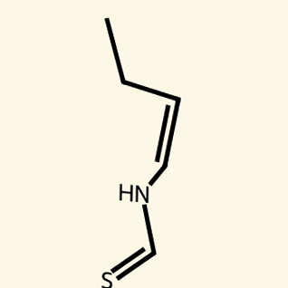 CC/C=C\NC=S